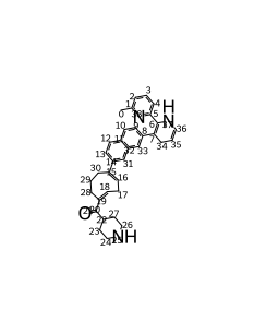 Cc1cccc(C2=C(c3ccc4ccc(/C5=C/C/C=C(\C(=O)C6CCNCC6)CCC5)cc4c3)CC=CN2)n1